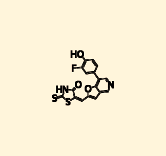 O=C1NC(=S)SC1=Cc1cc2cncc(-c3ccc(O)c(F)c3)c2o1